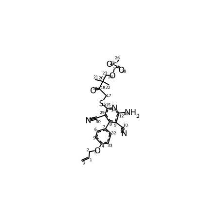 C=CCOc1ccc(-c2c(C#N)c(N)nc(SCC(=O)C(C)(C)COS(C)(=O)=O)c2C#N)cc1